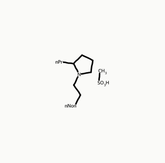 CCCCCCCCCCCN1CCCC1CCC.CS(=O)(=O)O